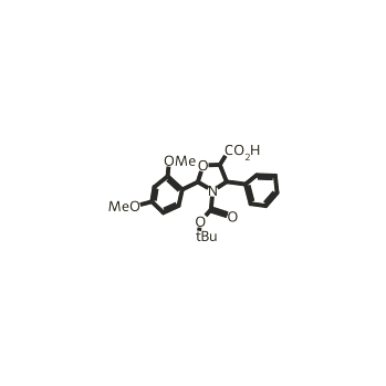 COc1ccc(C2OC(C(=O)O)C(c3ccccc3)N2C(=O)OC(C)(C)C)c(OC)c1